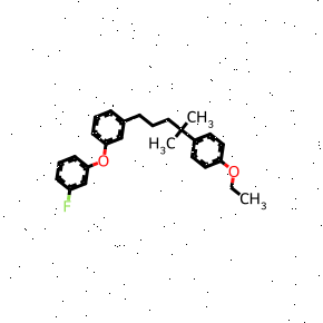 CCOc1ccc(C(C)(C)CCCc2cccc(Oc3cccc(F)c3)c2)cc1